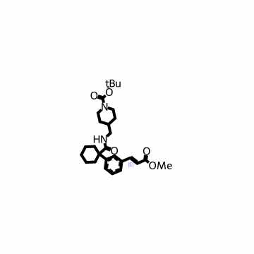 COC(=O)/C=C/c1cccc(C2(C(=O)NCC3CCN(C(=O)OC(C)(C)C)CC3)CCCCC2)c1